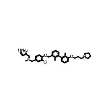 Cc1c(COc2ccc(CN(C)Cc3cc[nH]n3)cc2Cl)cccc1-c1cccc(OCCCN2CCCC2)c1C